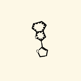 C1=C(c2cc3ccccc3s2)OCC1